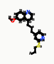 [CH2]CCSc1cc(CCCc2ccnc3ccc(OC)cc23)ccn1